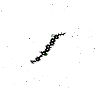 CCCCCc1ccc(-c2ccc3cc(-c4ccc5cc(-c6cc(C)c(C#Cc7ccc(CCCC)cc7)cc6F)ccc5c4)ccc3c2)c(F)c1